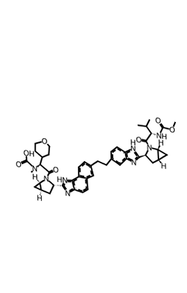 COC(=O)N[C@H](C(=O)N1[C@@H]2C[C@@H]2C[C@H]1c1nc2cc(CCc3ccc4c(ccc5nc([C@@H]6C[C@H]7C[C@H]7N6C(=O)[C@H](C6CCOCC6)N(C)C(=O)O)[nH]c54)c3)ccc2[nH]1)C(C)C